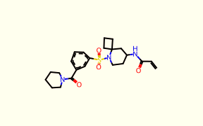 C=CC(=O)NC1CCN(S(=O)(=O)c2cccc(C(=O)N3CCCCC3)c2)C2(CCC2)C1